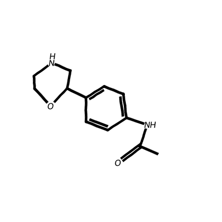 CC(=O)Nc1ccc(C2CNCCO2)cc1